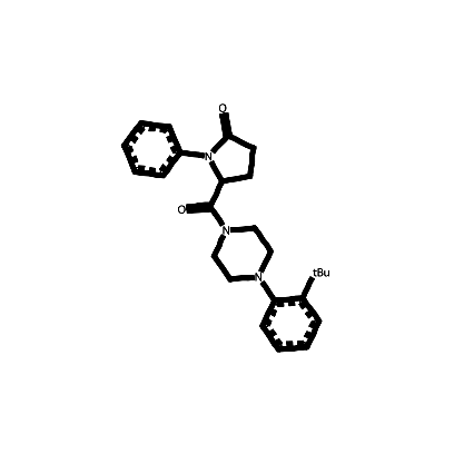 CC(C)(C)c1ccccc1N1CCN(C(=O)C2CCC(=O)N2c2ccccc2)CC1